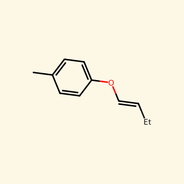 CCC=COc1ccc(C)cc1